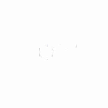 C=C[CH]c1ccccn1